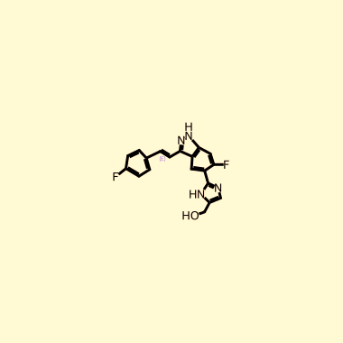 OCc1cnc(-c2cc3c(/C=C/c4ccc(F)cc4)n[nH]c3cc2F)[nH]1